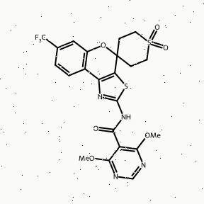 COc1ncnc(OC)c1C(=O)Nc1nc2c(s1)C1(CCS(=O)(=O)CC1)Oc1cc(C(F)(F)F)ccc1-2